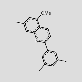 COc1cc(C)cc2nc(-c3cc(C)cc(C)c3)ccc12